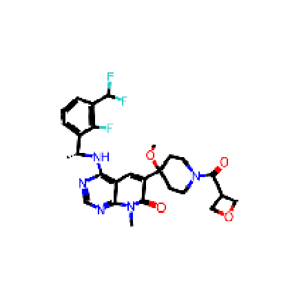 COC1(c2cc3c(N[C@H](C)c4cccc(C(F)F)c4F)ncnc3n(C)c2=O)CCN(C(=O)C2COC2)CC1